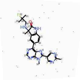 Cc1ncc(-c2nc3c(-c4ccc5c(c4)C(C)(NCC(C)(C)F)C(=O)N5)ncnc3n2C)cn1